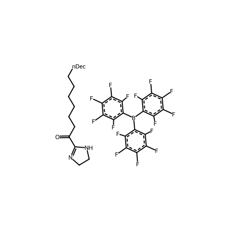 CCCCCCCCCCCCCCCCC(=O)C1=NCCN1.Fc1c(F)c(F)c(B(c2c(F)c(F)c(F)c(F)c2F)c2c(F)c(F)c(F)c(F)c2F)c(F)c1F